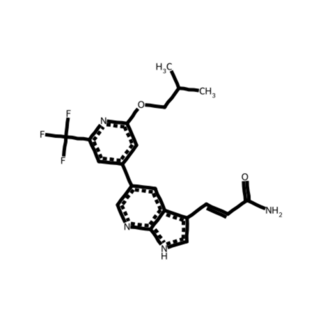 CC(C)COc1cc(-c2cnc3[nH]cc(/C=C/C(N)=O)c3c2)cc(C(F)(F)F)n1